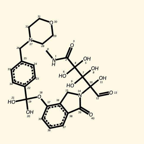 CNC(=O)C(O)(O)C(O)(O)C(O)(C=O)N1Cc2c(OC(O)(O)c3ccc(CN4CCOCC4)cc3)cccc2C1=O